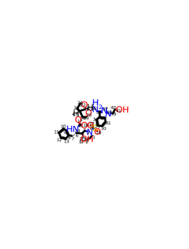 CC(C)CN(C[C@@H](O)[C@H](Cc1ccccc1)NC(=O)OC1CO[C@H]2OCC[C@@H]12)S(=O)(=O)c1ccc2c(c1)c(N)nn2CCO